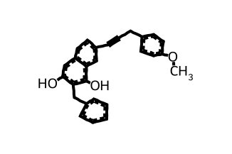 COc1ccc(CC#Cc2ccc3cc(O)c(Cc4ccccc4)c(O)c3c2)cc1